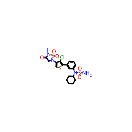 NS(=O)(=O)N(c1cccc(-c2scc(N3CC(=O)NS3(=O)=O)c2Cl)c1)C1CCCCC1